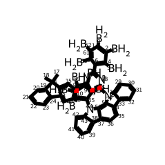 Bc1c(B)c(B)c(-c2nc(-c3ccc4c(c3)C(C)(C)c3ccccc3-4)nc(-n3c4ccccc4c4ccc5c6ccccc6n(-c6c(B)c(B)c(B)c(B)c6B)c5c43)n2)c(B)c1B